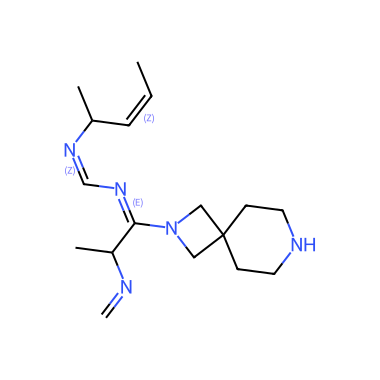 C=NC(C)/C(=N\C=N/C(C)/C=C\C)N1CC2(CCNCC2)C1